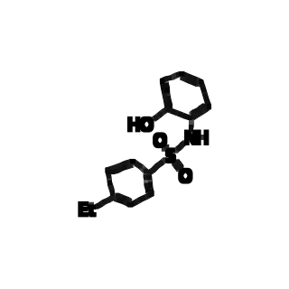 CCc1ccc(S(=O)(=O)Nc2ccccc2O)cc1